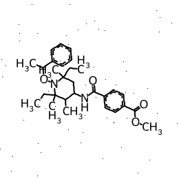 CCC1(C)CC(NC(=O)c2ccc(C(=O)OC)cc2)C(C)C(C)(CC)N1OC(C)c1ccccc1